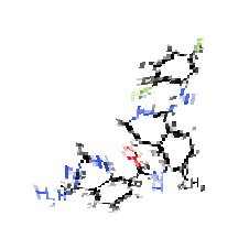 Cc1ccc2c(Nc3cc(F)ccc3F)nccc2c1NC(=O)c1cccc2c(N)ncnc12